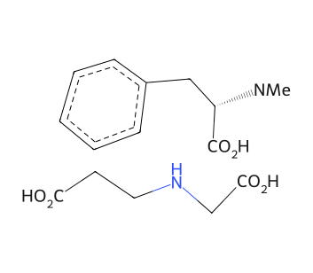 CN[C@@H](Cc1ccccc1)C(=O)O.O=C(O)CCNCC(=O)O